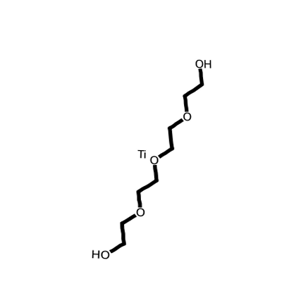 OCCOCCOCCOCCO.[Ti]